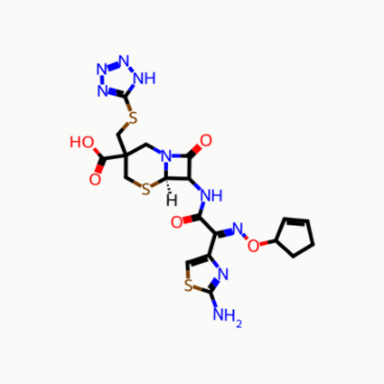 Nc1nc(C(=NOC2C=CCC2)C(=O)NC2C(=O)N3CC(CSc4nnn[nH]4)(C(=O)O)CS[C@H]23)cs1